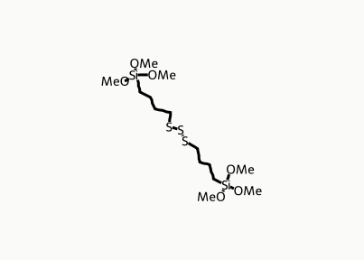 CO[Si](CCCCSSSCCCC[Si](OC)(OC)OC)(OC)OC